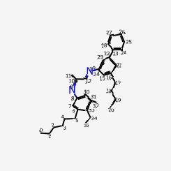 CCCCCCc1cc(N=C(C)C=Nc2cc(CCCC)cc(-c3ccccc3)c2)cc(C)c1CC